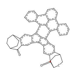 O=C1c2cc3c(cc2C2CCC1CC2)c1c2c4ccccc4c4cccc5c6ccccc6c(c2c45)c2c4cc5c(cc4n3c12)C(=O)C1CCC5CC1